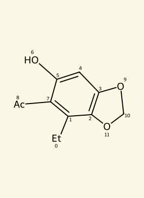 CCc1c2c(cc(O)c1C(C)=O)OCO2